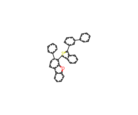 c1ccc(-c2cccc(-c3sc(-c4c(-c5ccccc5)ccc5c4oc4ccccc45)c4ccccc34)c2)cc1